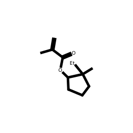 C=C(C)C(=O)OC1CCCC1(C)CC